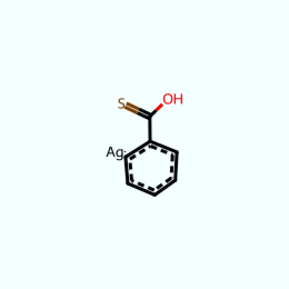 OC(=S)c1ccccc1.[Ag]